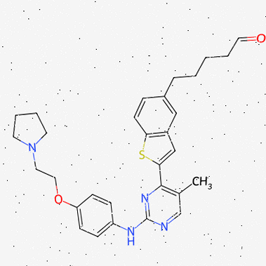 Cc1cnc(Nc2ccc(OCCN3CCCC3)cc2)nc1-c1cc2cc(CCCCC=O)ccc2s1